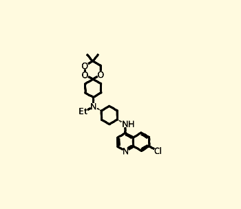 CCN(C1CCC2(CC1)OCC(C)(C)OO2)[C@H]1CC[C@@H](Nc2ccnc3cc(Cl)ccc23)CC1